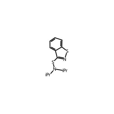 CC(C)N(Sc1nsc2ccccc12)C(C)C